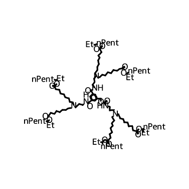 CCCCCC(CC)OC(=O)CCCCCCCCN(CCCCCCCCC(=O)OC(CC)CCCCC)CCCNC(=O)OCc1cc(C(=O)NCCCN(CCCCCCCCC(=O)OC(CC)CCCCC)CCCCCCCCC(=O)OC(CC)CCCCC)cc(C(=O)NCCCN(CCCCCCCCC(=O)OC(CC)CCCCC)CCCCCCCCC(=O)OC(CC)CCCCC)c1